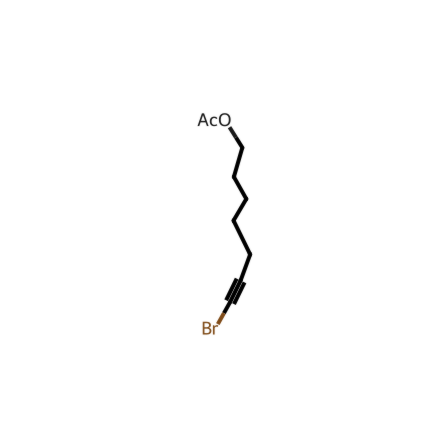 CC(=O)OCCCCCC#CBr